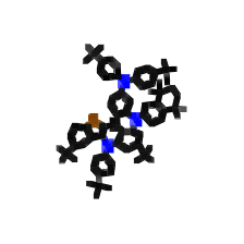 CC(C)(C)c1ccc(N(c2ccc(C(C)(C)C)cc2)c2ccc3c(c2)N(c2ccc4c(c2)C(C)(C)CCC4(C)C)c2cc(C(C)(C)C)cc4c2B3c2sc3ccc(C(C)(C)C)cc3c2N4c2ccc(C(C)(C)C)cc2)cc1